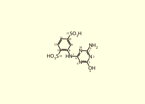 Nc1nc(O)nc(Nc2cc(S(=O)(=O)O)ccc2S(=O)(=O)O)n1